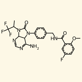 COc1ccc(F)cc1C(=O)NCc1ccc(N2C(=O)N(C(C)C(F)(F)F)C3N=CN=C(N)C32)cc1